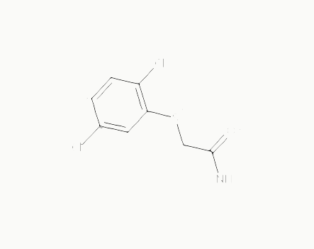 [NH]C(=O)CSc1cc(Cl)ccc1Cl